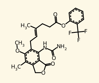 COc1c(C)c2c(c(NC(N)=O)c1C/C=C(\C)CCC(=O)Oc1ccccc1C(F)(F)F)C(=O)OC2